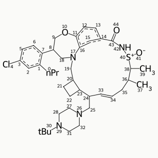 CCCc1cc(Cl)ccc1C1COc2ccc3cc2N(C1)CC1CCC1C(CN1CCN(C(C)(C)C)CC1)/C=C/CC(C)C(C)[S+]([O-])NC3=O